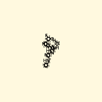 Fc1cc(OCCN2CCCC2)cc(-c2cncc3[nH]c(-c4n[nH]c5cnc(-c6cncc(CNCc7ccccc7)c6)cc45)cc23)c1